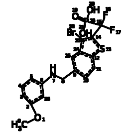 COc1cccc(NCc2ccc3sc(C(F)(F)P(=O)(O)O)c(Br)c3c2)c1